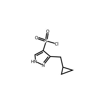 O=S(=O)(Cl)c1c[nH]nc1CC1CC1